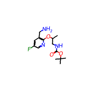 CC(CNC(=O)OC(C)(C)C)Oc1ncc(F)cc1CN